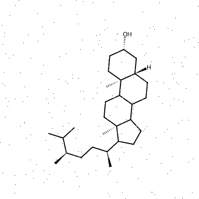 CC(C)[C@H](C)CC[C@H](C)C1CCC2C3CC[C@H]4C[C@@H](O)CC[C@]4(C)C3CC[C@@]21C